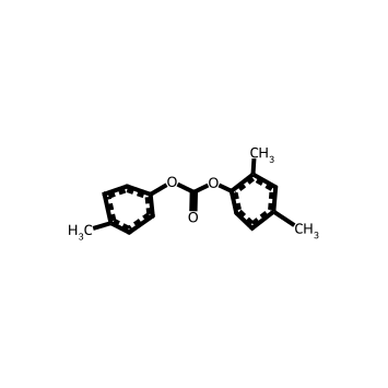 Cc1ccc(OC(=O)Oc2ccc(C)cc2C)cc1